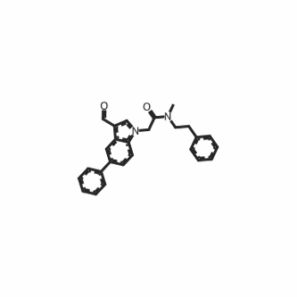 CN(CCc1ccccc1)C(=O)Cn1cc(C=O)c2cc(-c3ccccc3)ccc21